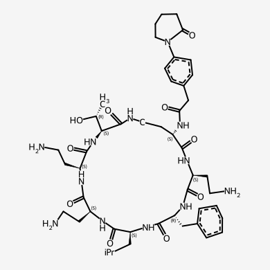 CC(C)C[C@@H]1NC(=O)[C@@H](Cc2ccccc2)NC(=O)[C@H](CCN)NC(=O)[C@@H](NC(=O)Cc2ccc(N3CCCCC3=O)cc2)CCNC(=O)[C@H]([C@@H](C)O)NC(=O)[C@H](CCN)NC(=O)[C@H](CCN)NC1=O